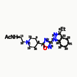 CCc1nn(-c2noc(C3CCN(CCNC(C)=O)CC3)n2)c2ccccc12